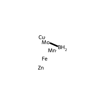 [BH2][Mo].[Cu].[Fe].[Mn].[Zn]